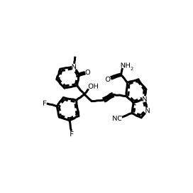 Cn1cccc(C(O)(CC#Cc2c(C(N)=O)ccn3ncc(C#N)c23)c2cc(F)cc(F)c2)c1=O